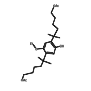 CCOc1cc(C(C)(C)CCCCOC(C)=O)c(O)cc1C(C)(C)CCCCOC(C)=O